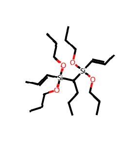 CC=C[Si](OCCC)(OCCC)C(CCC)[Si](C=CC)(OCCC)OCCC